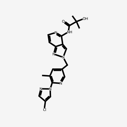 Cc1cc(Cn2cc3c(NC(=O)C(C)(C)O)nccc3n2)cnc1-n1cc(Cl)cn1